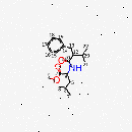 COC(=O)[C@H](CC(C)C)NC(=O)C(Cc1ccccc1)C(C)C